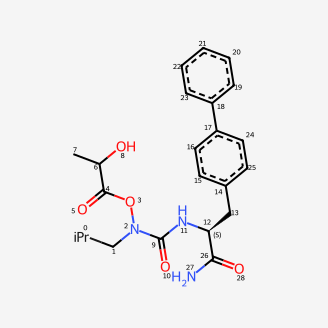 CC(C)CN(OC(=O)C(C)O)C(=O)N[C@@H](Cc1ccc(-c2ccccc2)cc1)C(N)=O